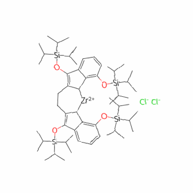 CC(C)[Si](OC1=C2CCC3=C(O[Si](C(C)C)(C(C)C)C(C)C)c4cccc(O[Si](C(C)C)(C(C)C)C(C)C)c4[CH]3[Zr+2][CH]2c2c(O[Si](C(C)C)(C(C)C)C(C)C)cccc21)(C(C)C)C(C)C.[Cl-].[Cl-]